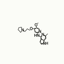 COc1cnc(Nc2nc(C)cc3[nH]ccc23)cc1OCCCN1CCCC1